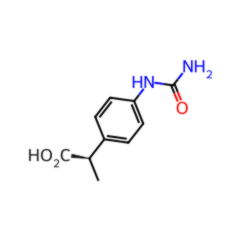 C[C@@H](C(=O)O)c1ccc(NC(N)=O)cc1